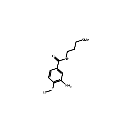 CCSc1ccc(C(=O)NCCCSC)cc1N